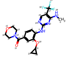 CNc1nc(Nc2ccc(C(=O)N3CCOCC3)cc2OC2CC2)ncc1C(F)(F)F